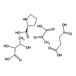 CC(=O)C(=O)O.CC(O)C(O)C(=O)O.O=C(O)CCC(=O)O.O=C(O)[C@@H]1CCCN1